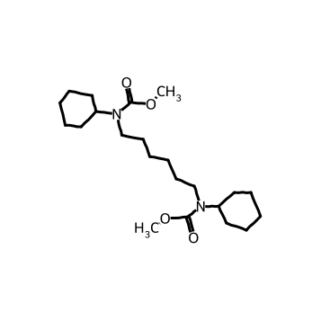 COC(=O)N(CCCCCCN(C(=O)OC)C1CCCCC1)C1CCCCC1